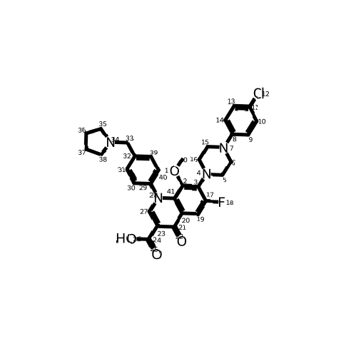 COc1c(N2CCN(c3ccc(Cl)cc3)CC2)c(F)cc2c(=O)c(C(=O)O)cn(-c3ccc(CN4CCCC4)cc3)c12